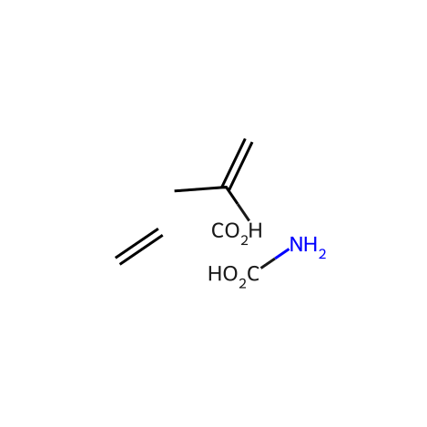 C=C.C=C(C)C(=O)O.NC(=O)O